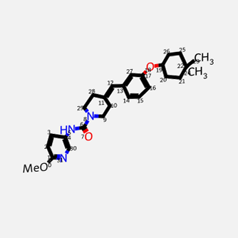 COc1ccc(NC(=O)N2CCC(=Cc3cccc(OC4CCC(C)(C)CC4)c3)CC2)cn1